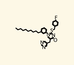 CCCCCCCCCCc1cccc(-n2cc(Cc3cncnc3)c(=O)nc2SCc2ccc(F)cc2)c1